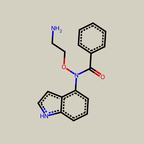 NCCON(C(=O)c1ccccc1)c1cccc2[nH]ccc12